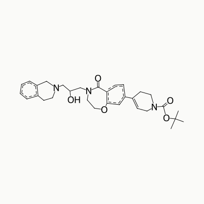 CC(C)(C)OC(=O)N1CC=C(c2ccc3c(c2)OCCN(CC(O)CN2CCc4ccccc4C2)C3=O)CC1